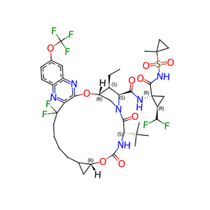 CC[C@@H]1[C@@H]2CN(C(=O)[C@H](C(C)(C)C)NC(=O)O[C@@H]3CC3CCCCC(F)(F)c3nc4ccc(OC(F)(F)F)cc4nc3O2)[C@@H]1C(=O)N[C@]1(C(=O)NS(=O)(=O)C2(C)CC2)C[C@H]1C(F)F